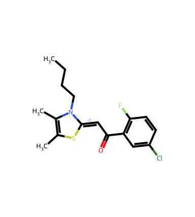 CCCCN1C(C)=C(C)S/C1=C\C(=O)c1cc(Cl)ccc1F